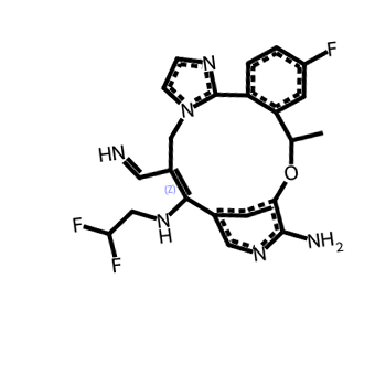 CC1Oc2cc(cnc2N)/C(NCC(F)F)=C(/C=N)Cn2ccnc2-c2ccc(F)cc21